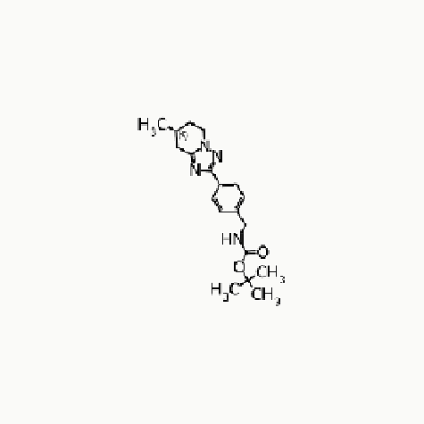 C[C@H]1CCn2nc(-c3ccc(CNC(=O)OC(C)(C)C)cc3)nc2C1